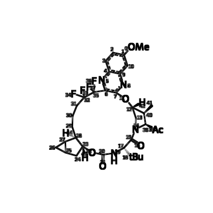 COc1ccc2nc3c(nc2c1)O[C@H]1CN(C(=O)[C@H](C(C)(C)C)NC(=O)O[C@@H]2CC4CC4[C@H]2CCCC(F)(F)C3(F)F)[C@H](C(C)=O)[C@@H]1C